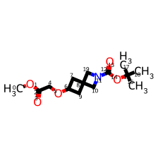 COC(=O)COC1CC2(C1)CN(C(=O)OC(C)(C)C)C2